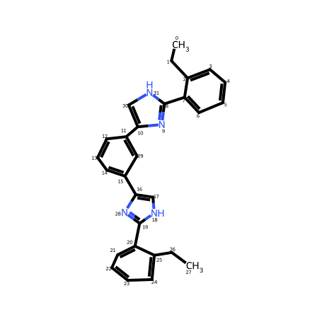 CCc1ccccc1-c1nc(-c2cccc(-c3c[nH]c(-c4ccccc4CC)n3)c2)c[nH]1